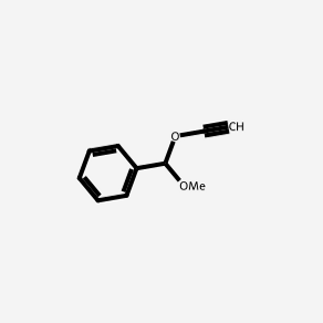 C#COC(OC)c1ccccc1